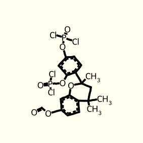 CC1(C)CC(C)(c2ccc(OP(=O)(Cl)Cl)cc2OP(=O)(Cl)Cl)Oc2cc(OC=O)ccc21